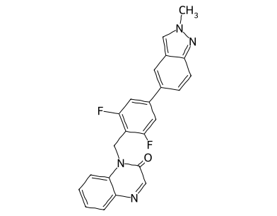 Cn1cc2cc(-c3cc(F)c(Cn4c(=O)cnc5ccccc54)c(F)c3)ccc2n1